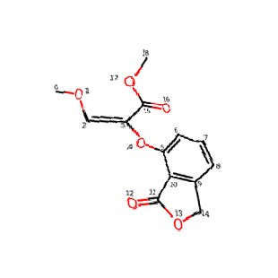 COC=C(Oc1cccc2c1C(=O)OC2)C(=O)OC